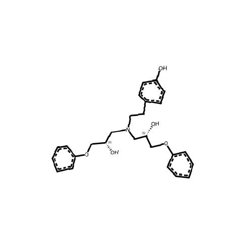 Oc1ccc(CCN(C[C@H](O)COc2ccccc2)C[C@H](O)COc2ccccc2)cc1